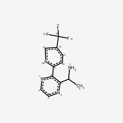 CC(N)c1nccnc1-c1ccc(C(F)(F)F)cn1